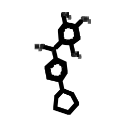 Cc1cc(C)c(N(C)c2ccc(C3CCCCC3)cc2)cc1C